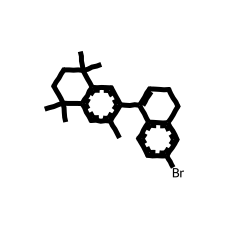 Cc1cc2c(cc1C1=CCCc3cc(Br)ccc31)C(C)(C)CCC2(C)C